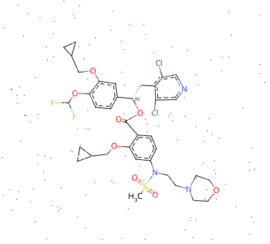 CS(=O)(=O)N(CCN1CCOCC1)c1ccc(C(=O)O[C@@H](Cc2c(Cl)cncc2Cl)c2ccc(OC(F)F)c(OCC3CC3)c2)c(OCC2CC2)c1